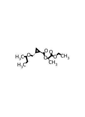 CCOC(=O)[C@H](C)OC(=O)[C@@H]1C[C@H]1COC(C)CC